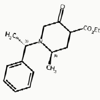 CCOC(=O)C1C[C@@H](C)N([C@@H](C)c2ccccc2)CC1=O